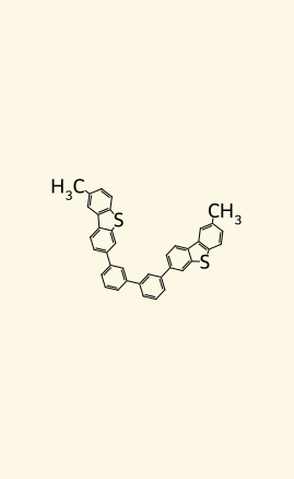 Cc1ccc2sc3cc(-c4cccc(-c5cccc(-c6ccc7c(c6)sc6ccc(C)cc67)c5)c4)ccc3c2c1